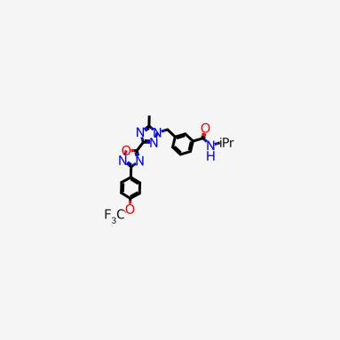 Cc1nc(-c2nc(-c3ccc(OC(F)(F)F)cc3)no2)nn1Cc1cccc(C(=O)NC(C)C)c1